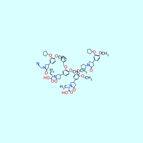 CCOc1cc(C2CC(=O)N(C(C)C(=O)O)C2)ccc1OC.COc1ccc(C2CC(=O)N(C(C)C(=O)O)C2)cc1OCc1ccccc1.COc1ccc(C2CC(=O)N(C3CCCC3)C2)cc1OC1CCCC1.COc1ccc(C2CC(=O)N(CC#N)C2)cc1OC1CCCC1